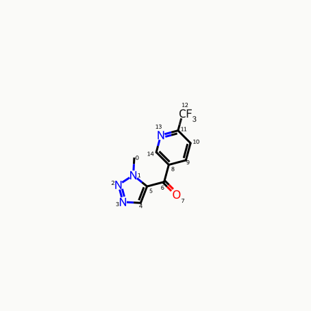 Cn1nncc1C(=O)c1ccc(C(F)(F)F)nc1